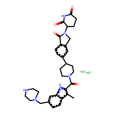 Cc1c(C(=O)N2CCC(c3ccc4c(c3)CN(C3CCC(=O)NC3=O)C4=O)CC2)[nH]c2cc(CN3CCNCC3)ccc12.Cl.Cl